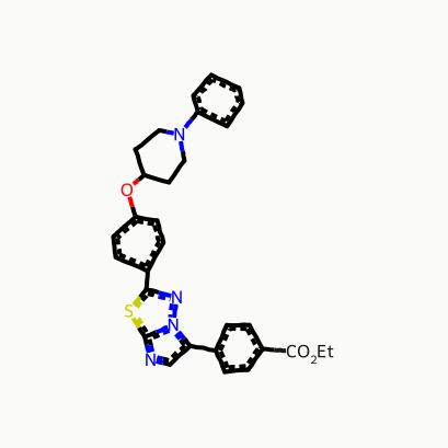 CCOC(=O)c1ccc(-c2cnc3sc(-c4ccc(OC5CCN(c6ccccc6)CC5)cc4)nn23)cc1